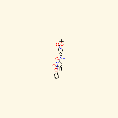 C=C1[C@H]2CC[C@@H](C(=O)NC3CC4(CCN(C(=O)OC(C)(C)C)CC4)C3)N1C(=O)N2OCc1ccccc1